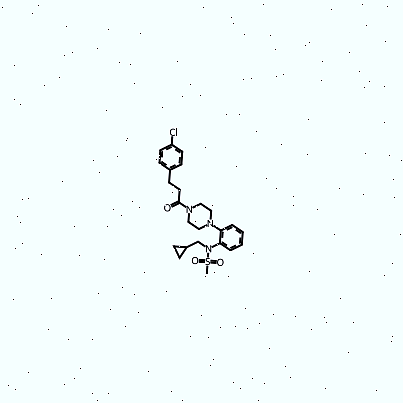 CS(=O)(=O)N(CC1CC1)c1ccccc1N1CCN(C(=O)CCc2ccc(Cl)cc2)CC1